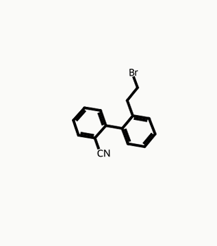 N#Cc1ccccc1-c1ccccc1CCBr